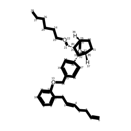 C=CCCC=CCc1ccccc1OCc1ccc([C@@H]2[C@H](COCCCCCC)[C@@H]3CC[C@H]2O3)cc1